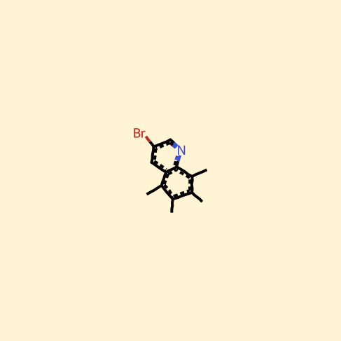 Cc1c(C)c(C)c2ncc(Br)cc2c1C